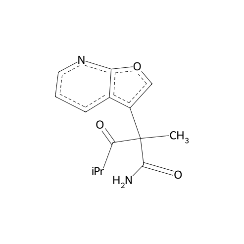 CC(C)C(=O)C(C)(C(N)=O)c1coc2ncccc12